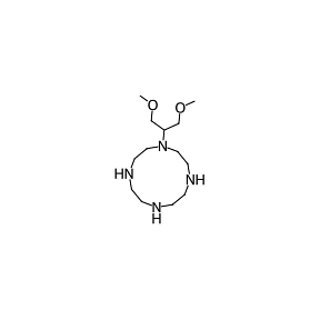 COCC(COC)N1CCNCCNCCNCC1